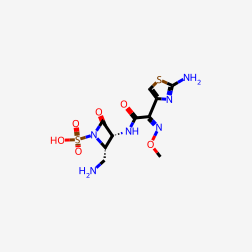 CON=C(C(=O)N[C@H]1C(=O)N(S(=O)(=O)O)[C@H]1CN)c1csc(N)n1